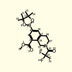 COC(=O)c1cc(B2OC(C)(C)C(C)(C)O2)cc2c1CN(C(=O)C(F)(F)F)CC2